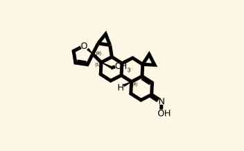 CC[C@]12CCC3C(CC4(CC4)C4=CC(=NO)CC[C@@H]43)C1C1CC1[C@@]21C=CCO1